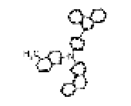 CC1CC=Cc2cc(N(c3ccc(-c4cc5ccccc5c5ccccc45)cc3)c3ccc4ccc5ccccc5c4c3)ccc21